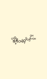 O=C(OCC(=O)N(CCO)CCO)c1cc(F)c2nc(N3CCC(OC(=O)c4c(-c5c(Cl)cccc5Cl)noc4C4CC4)CC3)sc2c1